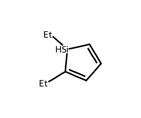 CCC1=CC=C[SiH]1CC